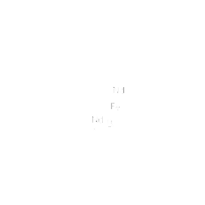 [B].[Fe].[Nd].[Nd]